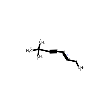 CC(C)(C)C#C/C=C/C[NH]